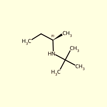 CC[C@@H](C)NC(C)(C)C